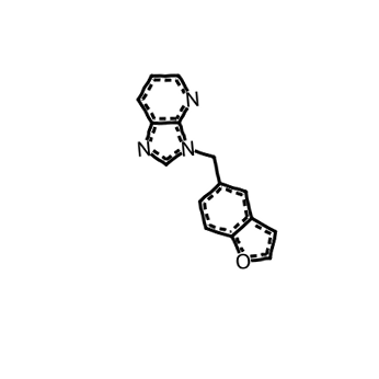 c1cnc2c(c1)ncn2Cc1ccc2occc2c1